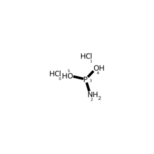 Cl.Cl.NP(O)O